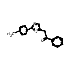 Cc1ccc(-c2ncc(CC(=O)c3ccccc3)o2)cc1